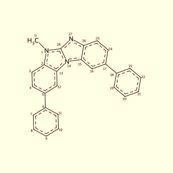 Cn1c2ccc(-c3ccccc3)cc2n2c3cc(-c4ccccc4)ccc3nc12